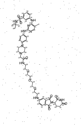 Cc1cnc(Nc2ccc(N3CCN(CC(=O)NCCOCCOCCOCCNc4ccc5c(c4)C(=O)N(C4CCC(=O)NC4=O)C5=O)CC3)cc2)nc1Nc1cccc(S(=O)(=O)NC(C)(C)C)c1